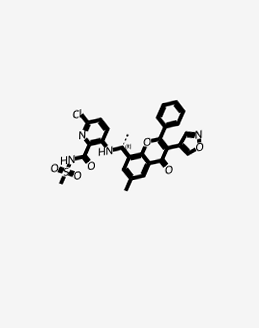 Cc1cc([C@@H](C)Nc2ccc(Cl)nc2C(=O)NS(C)(=O)=O)c2oc(-c3ccccc3)c(-c3cnoc3)c(=O)c2c1